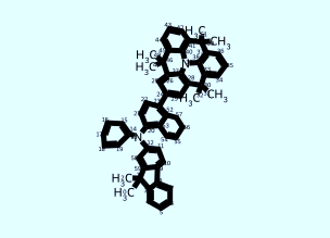 CC1(C)c2ccccc2-c2ccc(N(c3ccccc3)c3ccc(-c4cc5c6c(c4)C(C)(C)c4cccc7c4N6c4c(cccc4C5(C)C)C7(C)C)c4c3C=CCC4)cc21